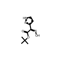 CC(C)(C)OC(=O)C(=NO)c1cc[nH]n1